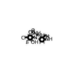 O=S1(=O)NC(Nc2cccc3[nH]ncc23)=Nc2c1cc(Cl)c(F)c2O